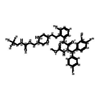 COC(=O)N[C@H](C(=O)Nc1cncc(F)c1CC[C@@H]1CN[C@H](COC(=O)NCC(F)(F)F)CO1)[C@H](c1ccc(F)cc1)c1ccc(F)c(F)c1